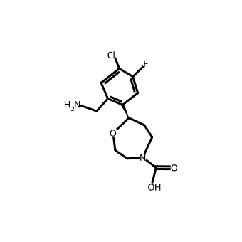 NCc1cc(Cl)c(F)cc1[C@H]1CCN(C(=O)O)CCO1